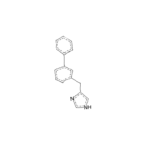 c1ccc(-c2cccc(Cc3c[nH]cn3)c2)cc1